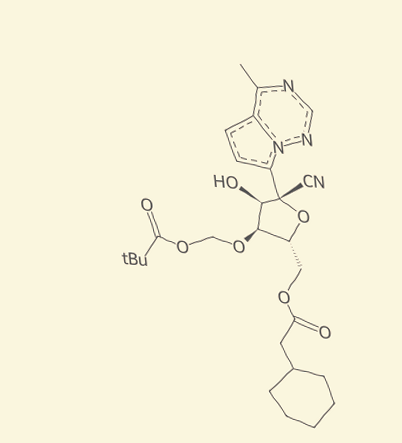 Cc1ncnn2c([C@]3(C#N)O[C@H](COC(=O)CC4CCCCC4)[C@@H](OCOC(=O)C(C)(C)C)[C@H]3O)ccc12